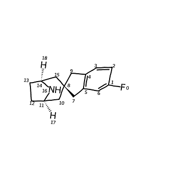 Fc1ccc2c(c1)C[C@@]1(C2)C[C@H]2CC[C@@H](C1)N2